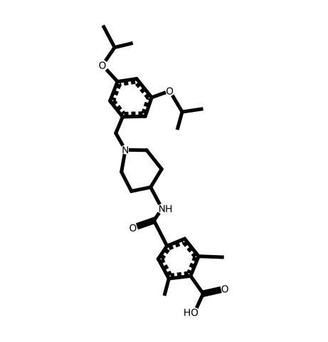 Cc1cc(C(=O)NC2CCN(Cc3cc(OC(C)C)cc(OC(C)C)c3)CC2)cc(C)c1C(=O)O